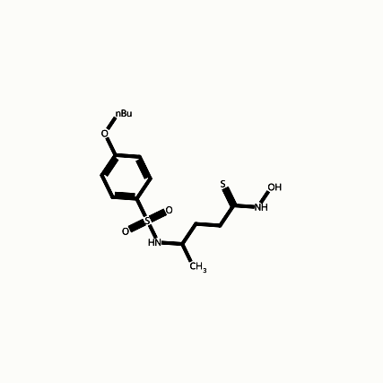 CCCCOc1ccc(S(=O)(=O)NC(C)CCC(=S)NO)cc1